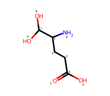 NC(CCC(=O)O)C(O)O